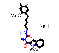 COc1cc(C)c(Cl)cc1CCCCCNC(=O)N(C)C(=O)c1cc2ccccc2n1OC(C)=O.[NaH]